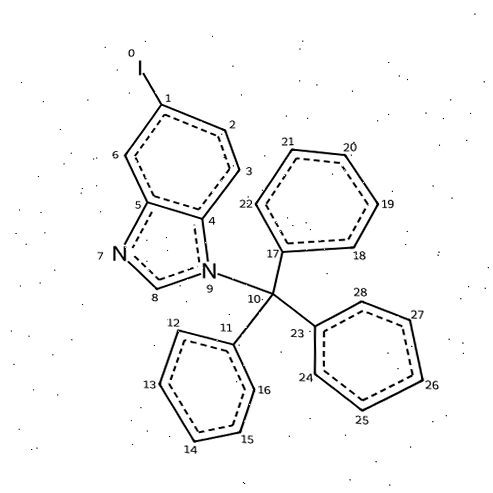 Ic1ccc2c(c1)ncn2C(c1ccccc1)(c1ccccc1)c1ccccc1